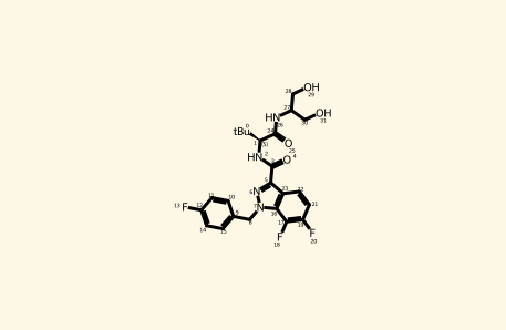 CC(C)(C)[C@H](NC(=O)c1nn(Cc2ccc(F)cc2)c2c(F)c(F)ccc12)C(=O)NC(CO)CO